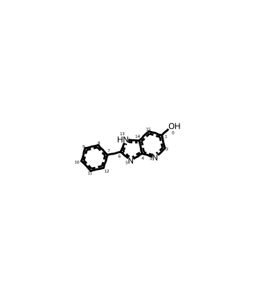 Oc1cnc2nc(-c3ccccc3)[nH]c2c1